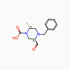 C[C@@H]1CN(Cc2ccccc2)[C@@H](C=O)CN1C(=O)O